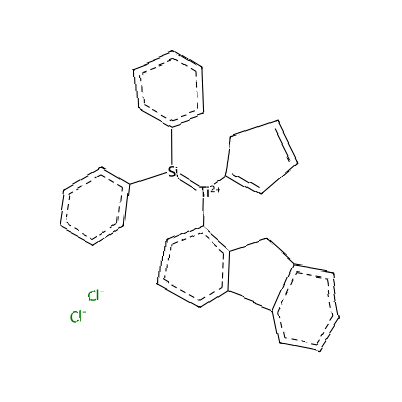 C1=CC[C]([Ti+2]([c]2cccc3c2Cc2ccccc2-3)=[Si](c2ccccc2)c2ccccc2)=C1.[Cl-].[Cl-]